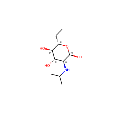 CC[C@@H]1O[C@@H](O)[C@@H](NC(C)C)[C@H](O)[C@H]1O